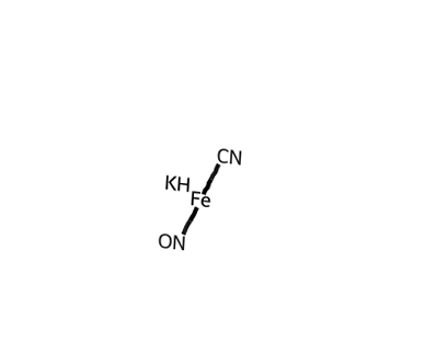 N#[C][Fe][N]=O.[KH]